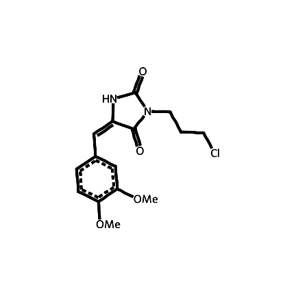 COc1ccc(C=C2NC(=O)N(CCCCl)C2=O)cc1OC